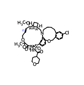 CO[C@H]1/C=C/COC(C)(C)C(=O)N=S(=O)(NC(=O)C2CCOCC2)c2ccc3c(c2)N(CCCCc2cc(Cl)ccc2CO3)C[C@@H]2CC[C@H]21